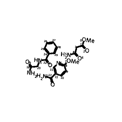 COC(=O)CC(N)=O.COc1ccc(C(N)=O)cn1.NC(=O)CNC(=O)c1ccccc1